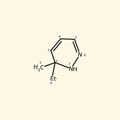 C[CH]C1(C)C=CC=NN1